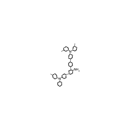 Cc1ccc(N(c2ccccc2)c2ccc(-c3ccc(N)c(-c4ccc(-c5ccc(N(c6cccc(C)c6)c6cccc(C)c6)cc5)cc4)c3)cc2)cc1